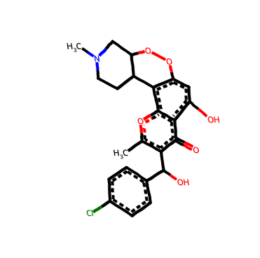 Cc1oc2c3c(cc(O)c2c(=O)c1C(O)c1ccc(Cl)cc1)OOC1CN(C)CCC31